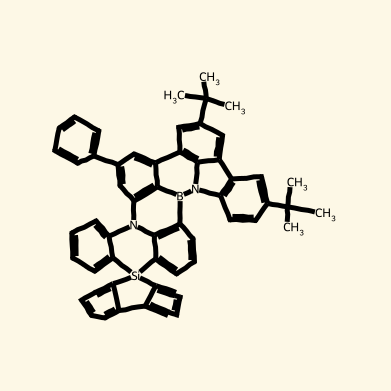 CC(C)(C)c1ccc2c(c1)c1cc(C(C)(C)C)cc3c1n2B1c2cccc4c2N(c2ccccc2[Si]42c4ccccc4-c4ccccc42)c2cc(-c4ccccc4)cc-3c21